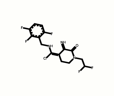 N=C1C(=O)N(CC(F)F)CC/C1=C(\Cl)NCc1c(F)ccc(F)c1F